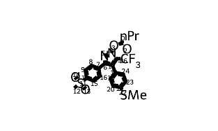 CCCC(=O)On1nc(-c2ccc(S(C)(=O)=O)cc2)c(-c2ccc(SC)cc2)c1C(F)(F)F